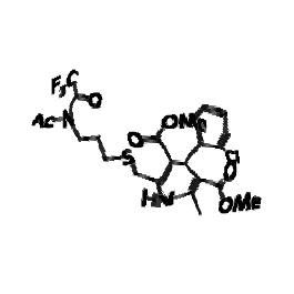 COC(=O)C1=C(C)NC(CSCCCN(C(C)=O)C(=O)C(F)(F)F)=C(C(=O)OC)C1c1ccccc1Cl